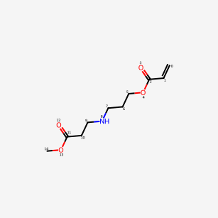 C=CC(=O)OCCCNCCC(=O)OC